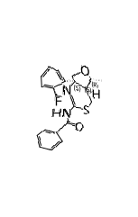 C[C@H]1OC[C@]2(c3ccccc3F)N=C(NC(=O)c3ccccc3)SC[C@H]12